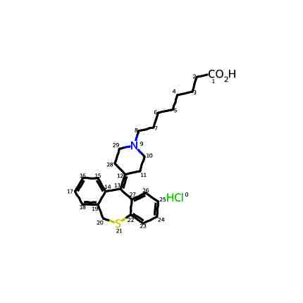 Cl.O=C(O)CCCCCCCN1CCC(=C2c3ccccc3CSc3ccccc32)CC1